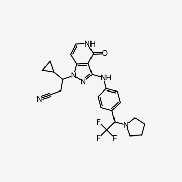 N#CCC(C1CC1)n1nc(Nc2ccc(C(N3CCCC3)C(F)(F)F)cc2)c2c(=O)[nH]ccc21